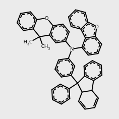 CC1(C)c2ccccc2Oc2ccc(N(c3cccc(C4(c5ccccc5)c5ccccc5C5C=CC=CC54)c3)c3cccc4oc5ccccc5c34)cc21